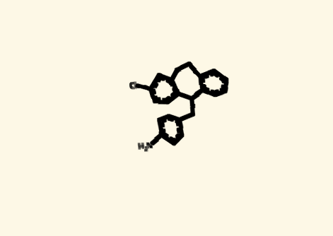 Nc1ccc(CC2c3ccccc3CCc3cc(Cl)ccc32)cc1